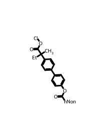 CCCCCCCCCC(=O)Oc1ccc(-c2ccc(C(C)(CC)C(=O)OCl)cc2)cc1